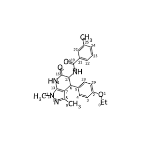 CCOc1ccc(C2c3c(C)nn(C)c3NC(=O)C2NC(=O)c2cccc(C)c2)cc1